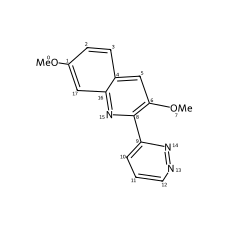 COc1ccc2cc(OC)c(-c3cccnn3)nc2c1